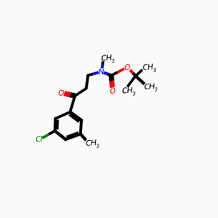 Cc1cc(Cl)cc(C(=O)CCN(C)C(=O)OC(C)(C)C)c1